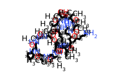 C/C=C1\NC(=O)[C@H](Cc2ccccc2)NC(=O)[C@@H](C(C)C)NC(=O)[C@@H]([C@@H](C)CC)NC(=O)[C@H](NC(=O)[C@H](NC(=O)[C@H](CCCCCN)CC(=O)[C@H]2CCCN2C(=O)[C@H](NC(=O)[C@@H](NC(=O)[C@@H](NC(=O)[C@H](NC(=O)CCCC(C)C)C(C)C)[C@@H](C)O)C(C)C)C(C)C)[C@@H](C)CC)[C@H](C)OC(=O)[C@H](C(C)C)NC1=O